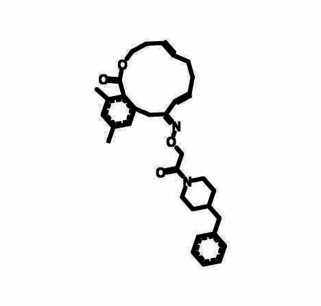 Cc1cc(C)c2c(c1)CC(=N\OCC(=O)N1CCC(Cc3ccccc3)CC1)/C=C/CC/C=C/CCOC2=O